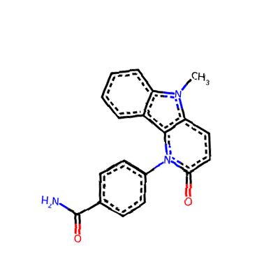 Cn1c2ccccc2c2c1ccc(=O)n2-c1ccc(C(N)=O)cc1